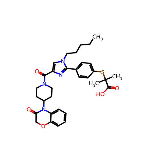 CCCCCn1cc(C(=O)N2CCC(N3C(=O)COc4ccccc43)CC2)nc1-c1ccc(SC(C)(C)C(=O)O)cc1